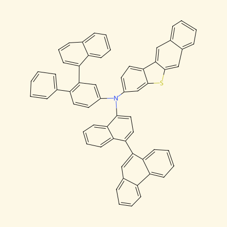 c1ccc(-c2ccc(N(c3ccc4c(c3)sc3cc5ccccc5cc34)c3ccc(-c4cc5ccccc5c5ccccc45)c4ccccc34)cc2-c2cccc3ccccc23)cc1